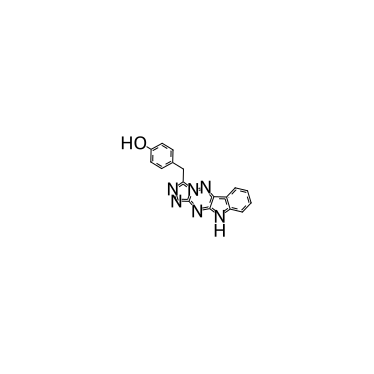 Oc1ccc(Cc2nnc3nc4[nH]c5ccccc5c4nn23)cc1